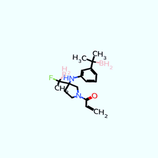 BC(C)(C)c1cccc(NC2(C(B)(C)F)CCN(C(=O)C=C)C2)c1